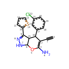 C#CC1=C(N)OC2NN=C(c3cccs3)C2C1c1cccc(Cl)c1